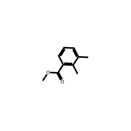 COC(=O)c1[c]ccc(C)c1C